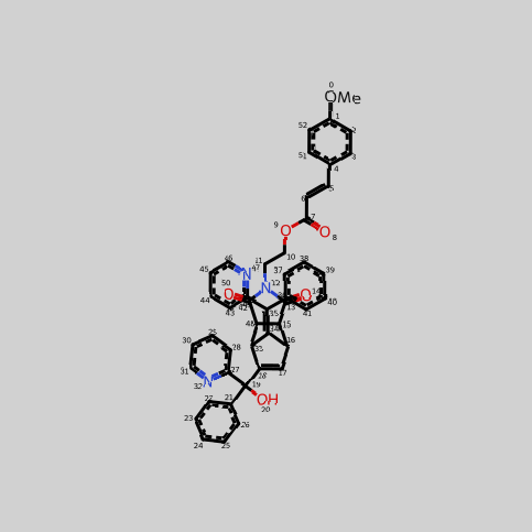 COc1ccc(C=CC(=O)OCCN2C(=O)C3C4C=C(C(O)(c5ccccc5)c5ccccn5)C(C4=C(c4ccccc4)c4ccccn4)C3C2=O)cc1